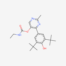 CCNC(=O)Oc1cnc(C)nc1-c1cc(C(C)(C)C)c(O)c(C(C)(C)C)c1